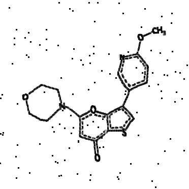 COc1ccc(-c2csc3c(=O)cc(N4CCOCC4)oc23)cn1